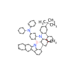 Cc1cc2c3c(c1)N(c1ccc(C(C)(C)C)cc1-c1ccccc1)c1cc(N(c4ccccc4)c4ccccc4)ccc1B3n1c3cc4ccccc4cc3c3cccc-2c31